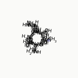 C/N=C\NCC[C@@H]1NC(=O)[C@H](CCCC(=O)O)NC(=O)[C@@H](NC(=O)[C@H](CCCNC(=N)N)N2C(=O)CNC2=O)CSSC[C@@H](C(N)=O)NC(=O)[C@H](Cc2c[nH]c3ccccc23)NC(=O)[C@H](CCCNC(=N)N)NC(=O)[C@@H](Cc2ccccc2)NC1=O